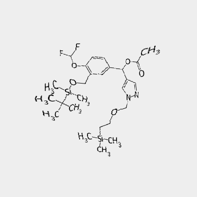 CC(=O)OC(c1ccc(OC(F)F)c(CO[Si](C)(C)C(C)(C)C)c1)c1cnn(COCC[Si](C)(C)C)c1